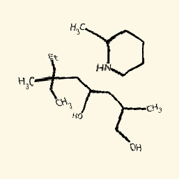 CC1CCCCN1.CCC(C)(C)CC(O)CC(C)CO